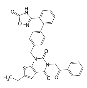 CCc1cc2c(=O)n(CC(=O)c3ccccc3)c(=O)n(Cc3ccc(-c4ccccc4-c4noc(=O)[nH]4)cc3)c2s1